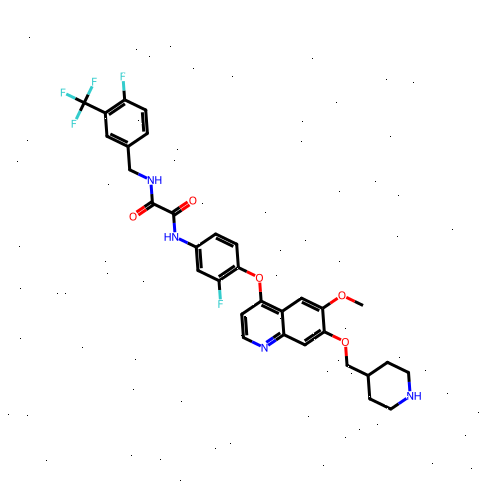 COc1cc2c(Oc3ccc(NC(=O)C(=O)NCc4ccc(F)c(C(F)(F)F)c4)cc3F)ccnc2cc1OCC1CCNCC1